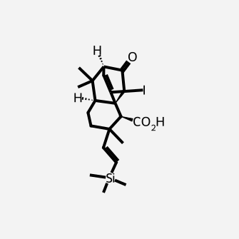 CC1(/C=C/[Si](C)(C)C)CC[C@H]2C(C)(C)[C@@H]3C=C(I)[C@]2(CC3=O)[C@H]1C(=O)O